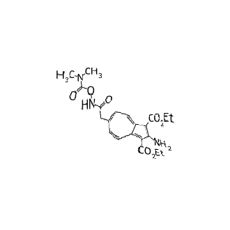 CCOC(=O)c1c2ccc(CC(=O)NOC(=O)N(C)C)ccc-2c(C(=O)OCC)c1N